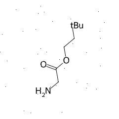 CC(C)(C)CCOC(=O)CN